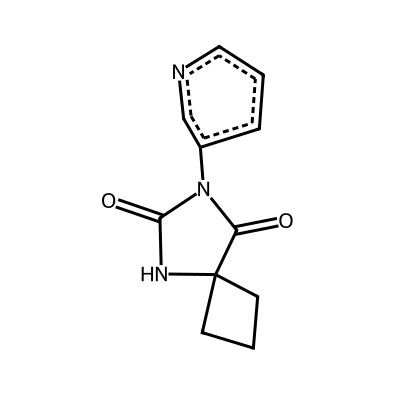 O=C1NC2(CCC2)C(=O)N1c1cccnc1